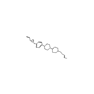 C=CCOCc1ccc(C2CCC(C3CCC(CC/C=C/C)CC3)CC2)cc1